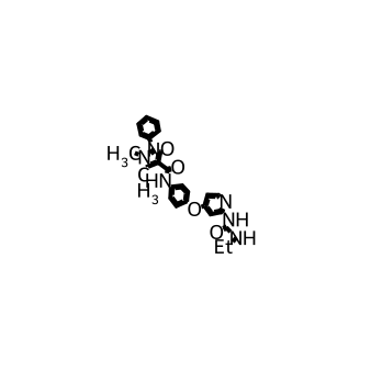 CCNC(=O)Nc1cc(Oc2ccc(NC(=O)c3c(C)n(C)n(-c4ccccc4)c3=O)cc2)ccn1